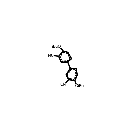 [C-]#[N+]c1cc(-c2ccc(OCC(C)C)c(C#N)c2)ccc1OCC(C)C